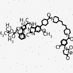 COc1cc2nc(C)nc(N[C@H](C)c3cc(-c4ccccc4N(C)C(=O)OC(C)(C)C)cs3)c2cc1C1CCC(C(=O)N2CCC(CCCC3CCN(C(=O)c4ccc(Cl)c(N5CCC(=O)NC5=O)c4)CC3)CC2)CC1